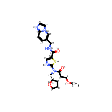 COCCC(=O)N(C[C@@H]1CCCO1)c1ncc(C(=O)NCc2ccc3nccn3c2)s1